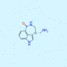 NC[C@H]1CNC(=O)c2cccc3[nH]cc1c23